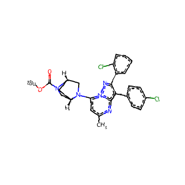 Cc1cc(N2C[C@@H]3C[C@H]2CN3C(=O)OC(C)(C)C)n2nc(-c3ccccc3Cl)c(-c3ccc(Cl)cc3)c2n1